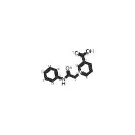 O=C(C[n+]1cccc(C(=O)O)c1)Nc1ccccc1